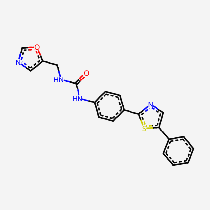 O=C(NCc1cnco1)Nc1ccc(-c2ncc(-c3ccccc3)s2)cc1